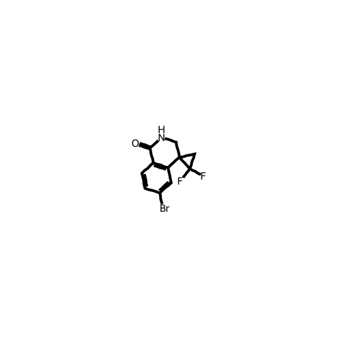 O=C1NCC2(CC2(F)F)c2cc(Br)ccc21